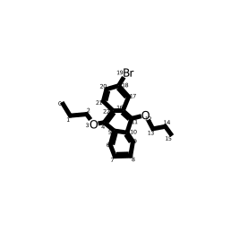 CCCOc1c2ccccc2c(OCCC)c2cc(Br)ccc12